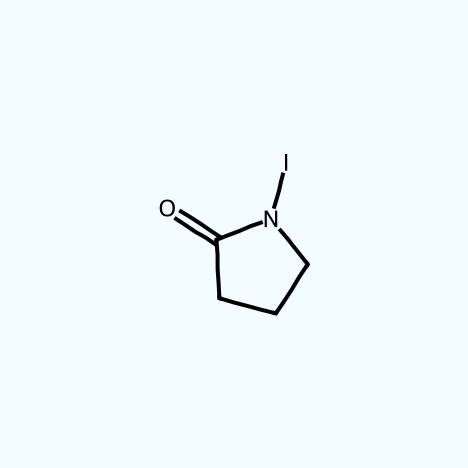 O=C1CCCN1I